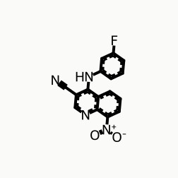 N#Cc1cnc2c([N+](=O)[O-])cccc2c1Nc1cccc(F)c1